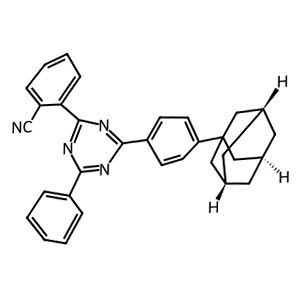 N#Cc1ccccc1-c1nc(-c2ccccc2)nc(-c2ccc(C34C[C@H]5C[C@@H](C3)C[C@@H](C4)C5)cc2)n1